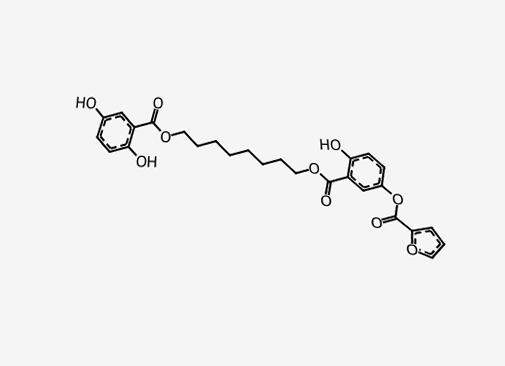 O=C(Oc1ccc(O)c(C(=O)OCCCCCCCCOC(=O)c2cc(O)ccc2O)c1)c1ccco1